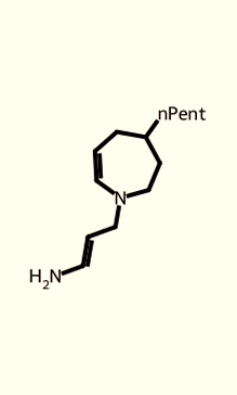 CCCCCC1CC=CN(CC=CN)CC1